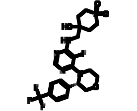 O=S1(=O)CCC(O)(CNc2ncnc(N3CCOC[C@@H]3c3ccc(C(F)(F)F)cc3)c2F)CC1